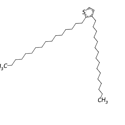 CCCCCCCCCCCCCCCCc1ccsc1CCCCCCCCCCCCCCCC